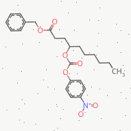 CCCCCCC(CCC(=O)OCc1ccccc1)OC(=O)Oc1ccc([N+](=O)[O-])cc1